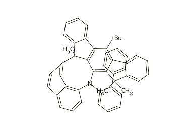 CC(C)(C)c1c2c(c3c4c1-c1ccccc1C4(C)c1ccc4cccc(c4c1)N3c1ccccc1-c1ccccc1)C(C)(C)c1ccccc1-2